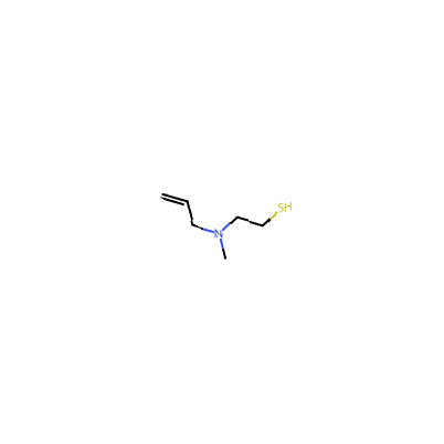 C=CCN(C)CCS